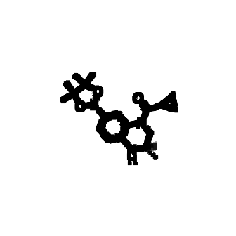 C[C@H]1CN(C(=O)C2CC2)c2cc(B3OC(C)(C)C(C)(C)O3)ccc2N1